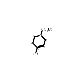 CCOC(=O)N1CC=C(CC)CC1